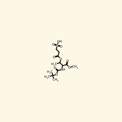 COC(=O)C(NC(=O)OC(C)(C)C)C(C)OC(=O)CCS(=O)(=O)O